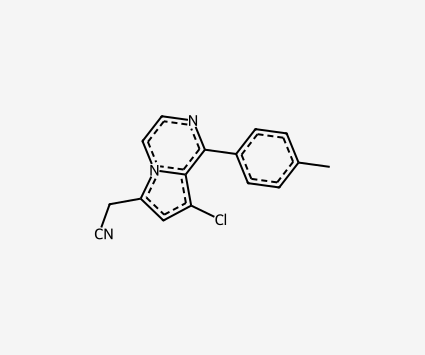 Cc1ccc(-c2nccn3c(CC#N)cc(Cl)c23)cc1